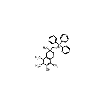 Cc1c(C)c2c(c(C)c1O)CCC(C)(CC[PH](c1ccccc1)(c1ccccc1)c1ccccc1)C2